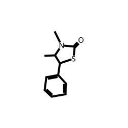 CC1C(c2ccccc2)SC(=O)N1C